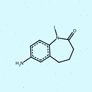 Nc1ccc2c(c1)CCCC(=O)N2I